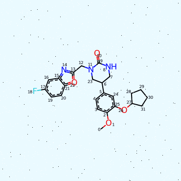 COc1ccc(C2CNC(=O)N(Cc3nc4cc(F)ccc4o3)C2)cc1OC1CCCC1